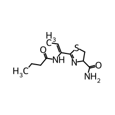 C/C=C(\NC(=O)CCC)C1=NC(C(N)=O)CS1